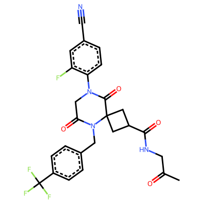 CC(=O)CNC(=O)C1CC2(C1)C(=O)N(c1ccc(C#N)cc1F)CC(=O)N2Cc1ccc(C(F)(F)F)cc1